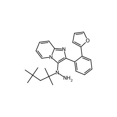 CC(C)(C)CC(C)(C)N(N)c1c(-c2ccccc2-c2ccco2)nc2ccccn12